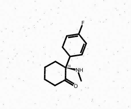 CN[C@]1(C2C=CC(F)=CC2)CCCCC1=O